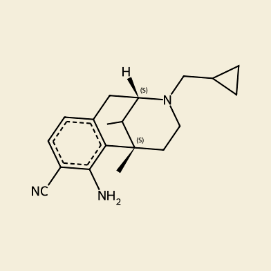 CC1[C@@H]2Cc3ccc(C#N)c(N)c3[C@@]1(C)CCN2CC1CC1